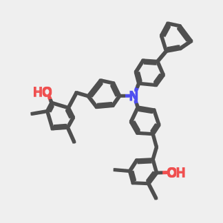 Cc1cc(C)c(O)c(Cc2ccc(N(c3ccc(Cc4cc(C)cc(C)c4O)cc3)c3ccc(-c4ccccc4)cc3)cc2)c1